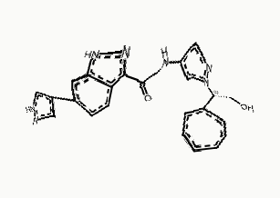 O=C(Nc1cnn([C@H](CO)c2ccccc2)c1)c1n[nH]c2cc(-c3cn[nH]c3)ccc12